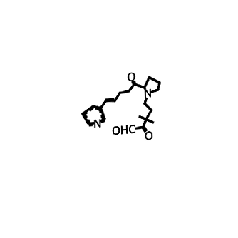 CC(C)(CCN1CCCC1C(=O)CCC=Cc1cccnc1)C(=O)C=O